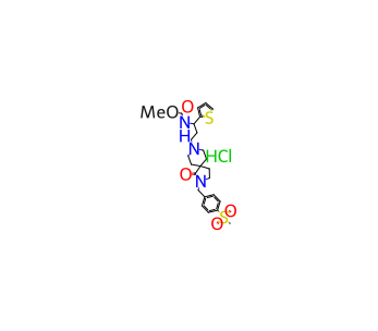 COC(=O)NC(CCN1CCC2(CC1)CCN(Cc1ccc(S(C)(=O)=O)cc1)C2=O)c1cccs1.Cl